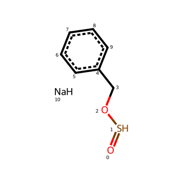 O=[SH]OCc1ccccc1.[NaH]